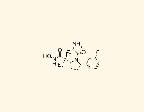 CCC(CC)(C(=O)NO)[C@H]1CC[C@@H](c2cccc(Cl)c2)N1C(=O)[C@@H](C)N